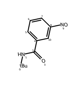 CC(C)(C)NC(=O)c1cccc(N=O)c1